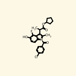 Cc1c(C(C)C(=O)OC2CCCC2)c2c(F)c(O)ccc2n1C(=O)c1ccc(Cl)cc1